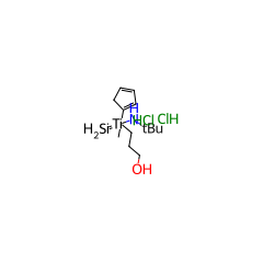 CC(C)(C)[NH][Ti]([CH3])(=[SiH2])([CH2]CCO)[C]1=CC=CC1.Cl.Cl